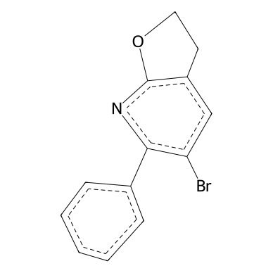 Brc1cc2c(nc1-c1ccccc1)OCC2